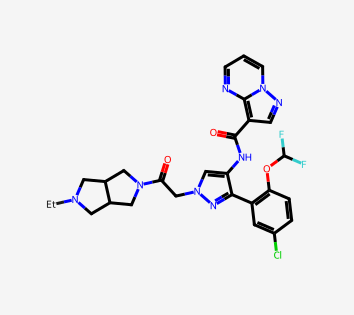 CCN1CC2CN(C(=O)Cn3cc(NC(=O)c4cnn5cccnc45)c(-c4cc(Cl)ccc4OC(F)F)n3)CC2C1